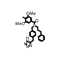 COc1cc(C(=O)N(CCCc2ccccc2)Cc2ccc(Cc3nnn[nH]3)cc2)cc(OC)c1C